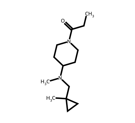 CCC(=O)N1CCC(N(C)CC2(C)CC2)CC1